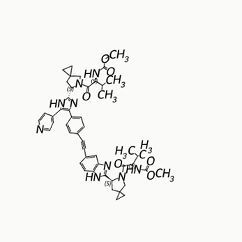 COC(=O)N[C@H](C(=O)N1CC2(CC2)C[C@H]1c1nc(-c2ccc(C#Cc3ccc4[nH]c([C@@H]5CC6(CC6)CN5C(=O)[C@@H](NC(=O)OC)C(C)C)nc4c3)cc2)c(-c2ccncc2)[nH]1)C(C)C